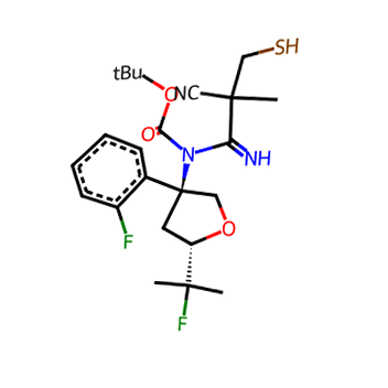 CC(C)(C)OC(=O)N(C(=N)C(C)(C#N)CS)[C@@]1(c2ccccc2F)CO[C@H](C(C)(C)F)C1